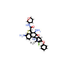 Cc1c(C2(N)C(=O)C(N)c3c(C(=O)NC4CCCOC4)sc4c(N)ccc2c34)ccc(Oc2ccccc2)c1F